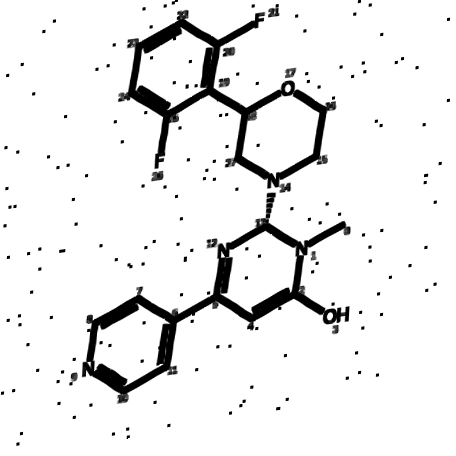 CN1C(O)=CC(c2ccncc2)=N[C@@H]1N1CCOC(c2c(F)cccc2F)C1